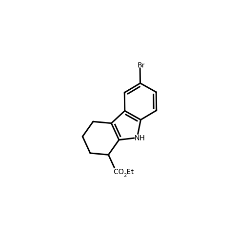 CCOC(=O)C1CCCc2c1[nH]c1ccc(Br)cc21